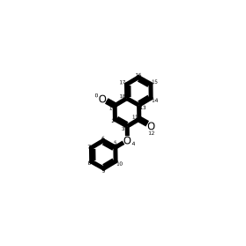 O=C1C=C(Oc2ccccc2)C(=O)c2ccccc21